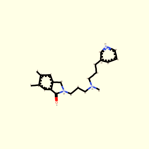 Cc1cc2c(cc1C)C(=O)N(CCCN(C)CCCc1cccnc1)C2